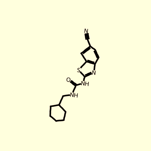 N#Cc1ccc2nc(NC(=O)NCC3CCCCC3)sc2c1